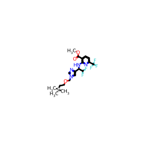 COC(=O)c1ccc(C(F)(F)F)nc1NC(c1cn(COCC[Si](C)(C)C)cn1)C(F)F